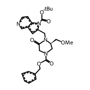 COC[C@H]1CN(C(=O)OCc2ccccc2)CC(=O)N1Cc1cc2cnccc2n1C(=O)OC(C)(C)C